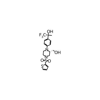 C[C@@](O)(c1ccc(N2CCN(S(=O)(=O)c3cccs3)C[C@H]2CO)cc1)C(F)(F)F